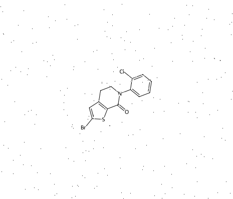 O=C1c2sc(Br)cc2CCN1c1ccccc1Cl